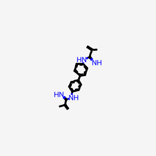 C=C(C)C(=N)Nc1ccc(-c2ccc(NC(=N)C(=C)C)cc2)cc1